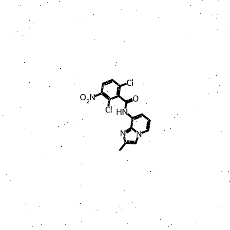 Cc1cn2cccc(NC(=O)c3c(Cl)ccc([N+](=O)[O-])c3Cl)c2n1